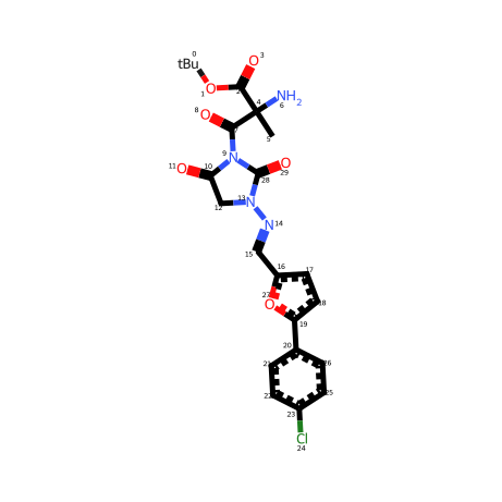 CC(C)(C)OC(=O)C(C)(N)C(=O)N1C(=O)CN(N=Cc2ccc(-c3ccc(Cl)cc3)o2)C1=O